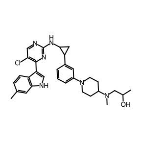 Cc1ccc2c(-c3nc(NC4CC4c4cccc(N5CCC(N(C)CC(C)O)CC5)c4)ncc3Cl)c[nH]c2c1